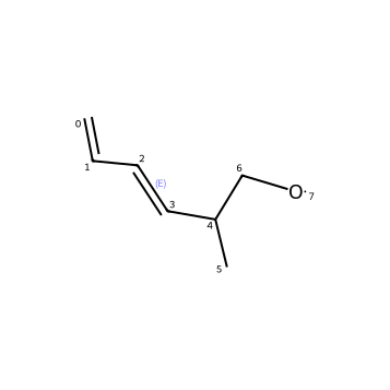 C=C/C=C/C(C)C[O]